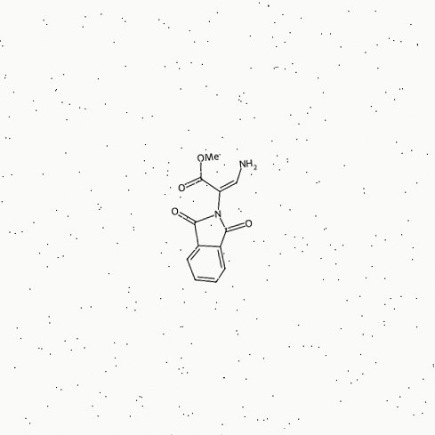 COC(=O)C(=CN)N1C(=O)c2ccccc2C1=O